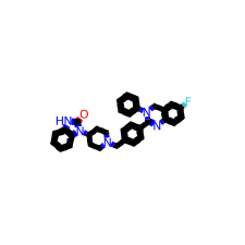 O=c1[nH]c2ccccc2n1C1CCN(Cc2ccc(C3=Nc4ccc(F)cc4CN3c3ccccc3)cc2)CC1